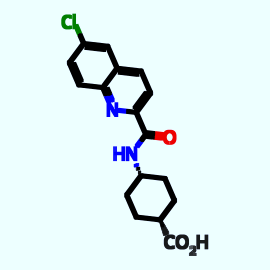 O=C(N[C@H]1CC[C@H](C(=O)O)CC1)c1ccc2cc(Cl)ccc2n1